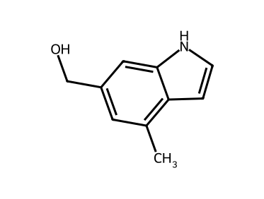 Cc1cc(CO)cc2[nH]ccc12